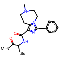 CNC(=O)C(NC(=O)c1nc(-c2ccccc2)n2c1CCN(C)CC2)C(C)(C)C